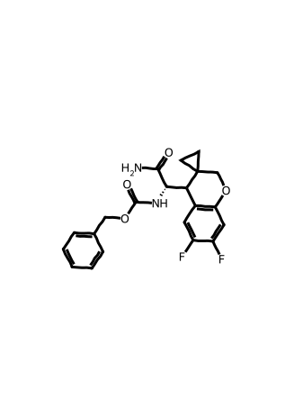 NC(=O)[C@@H](NC(=O)OCc1ccccc1)C1c2cc(F)c(F)cc2OCC12CC2